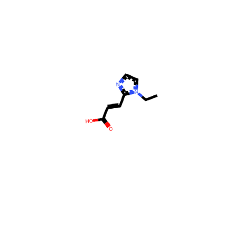 CCn1ccnc1C=CC(=O)O